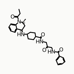 CCC(=O)N1c2ccccc2[C@H](NC2CCC(C(=O)NCC(=O)CNC(=O)c3ccccc3)CC2)C[C@@H]1C